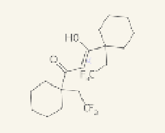 O=C(/C=C(\O)C1(CC(F)(F)F)CCCCC1)C1(CC(F)(F)F)CCCCC1